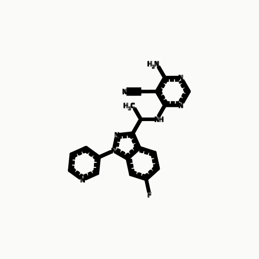 CC(Nc1ncnc(N)c1C#N)c1nn(-c2cccnc2)c2cc(F)ccc12